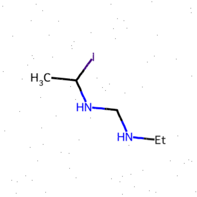 CCNCNC(C)I